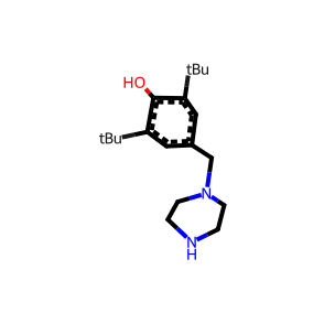 CC(C)(C)c1cc(CN2CCNCC2)cc(C(C)(C)C)c1O